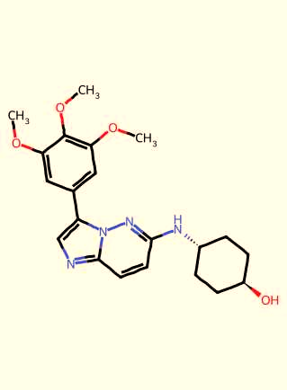 COc1cc(-c2cnc3ccc(N[C@H]4CC[C@H](O)CC4)nn23)cc(OC)c1OC